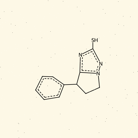 Sc1nc2n(n1)CCC2c1ccccc1